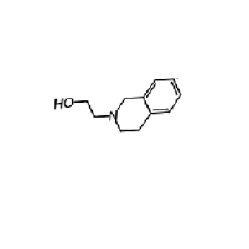 OCCN1CCc2cc[c]cc2C1